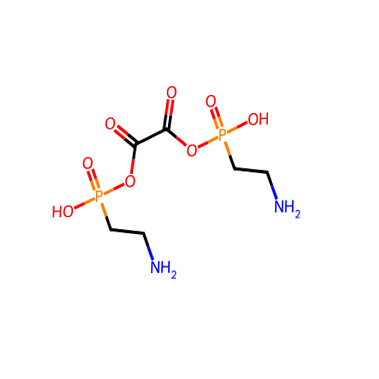 NCCP(=O)(O)OC(=O)C(=O)OP(=O)(O)CCN